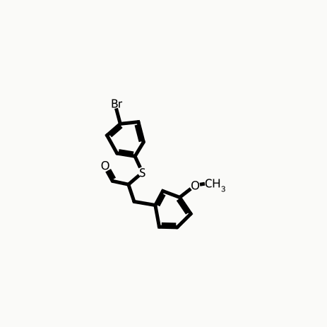 COc1cccc(CC(C=O)Sc2ccc(Br)cc2)c1